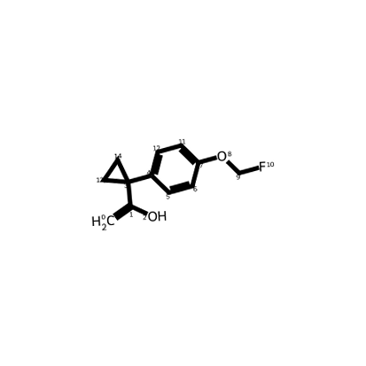 C=C(O)C1(c2ccc(OCF)cc2)CC1